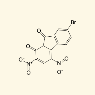 O=C1C([N+](=O)[O-])=CC([N+](=O)[O-])=C2c3ccc(Br)cc3C(=O)C12